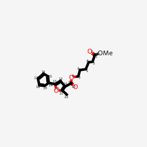 COC(=O)CCCCCOC(=O)c1cc(-c2ccccc2)oc1C